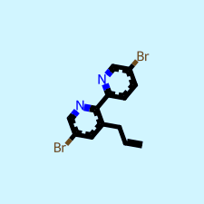 C=CCc1cc(Br)cnc1-c1ccc(Br)cn1